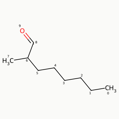 CCCCCCC(C)[C]=O